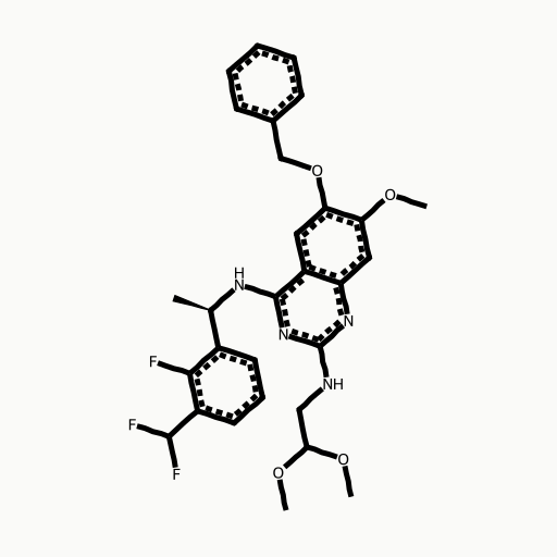 COc1cc2nc(NCC(OC)OC)nc(N[C@H](C)c3cccc(C(F)F)c3F)c2cc1OCc1ccccc1